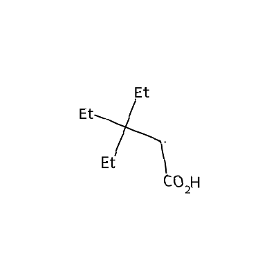 CCC([CH]C(=O)O)(CC)CC